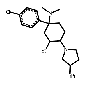 CCCC1CCN(C2CCC(c3ccc(Cl)cc3)(N(C)C)CC2CC)C1